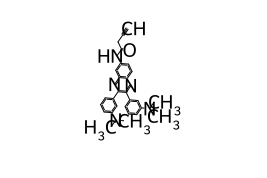 C#CCC(=O)Nc1ccc2nc(-c3cccc(N(C)C)c3)c(-c3cccc(N(C)C)c3)nc2c1